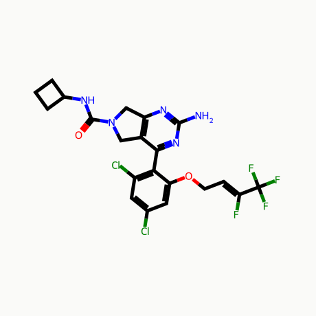 Nc1nc2c(c(-c3c(Cl)cc(Cl)cc3OCC=C(F)C(F)(F)F)n1)CN(C(=O)NC1CCC1)C2